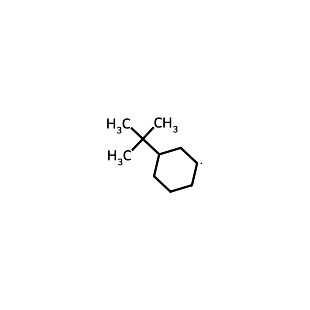 CC(C)(C)C1C[CH]CCC1